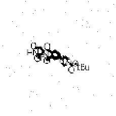 CC(C)(C)OC(=O)N1CCN(c2ccc3c(c2)C(=O)N(C2(F)CCC(=O)NC2=O)C3=O)CC1